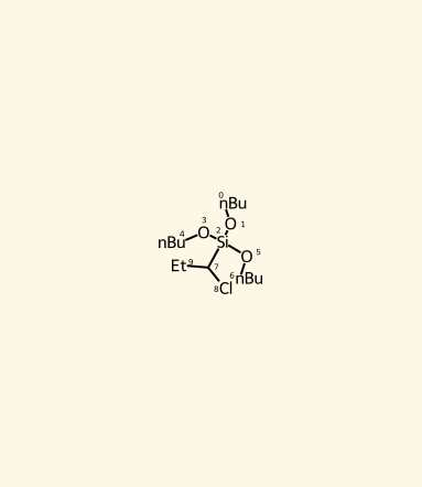 CCCCO[Si](OCCCC)(OCCCC)C(Cl)CC